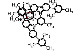 Cc1cc(C)c(-c2ccc3c4ccc(-c5c(C)cc(C)cc5C)cc4n(-c4cc(C(F)(F)F)cc(-n5c6cc(-c7c(C)cc(C)cc7C)ccc6c6ccc(-c7c(C)cc(C)cc7C)cc65)c4-c4cccc(C#N)c4)c3c2)c(C)c1